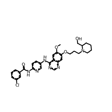 COc1cc2c(Nc3ccc(NC(=O)c4cccc(Cl)c4)nc3)ncnc2cc1OCCCN1CCCCC1CO